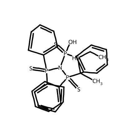 CC[SH](CC)P(O)(=S)N(P(=S)(c1ccccc1)c1ccccc1)P(=S)(c1ccccc1)c1ccccc1